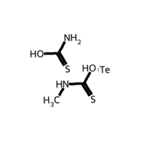 CNC(O)=S.NC(O)=S.[Te]